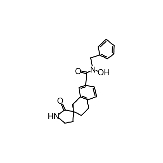 O=C(c1ccc2c(c1)C[C@]1(CCNC1=O)CC2)N(O)Cc1ccccc1